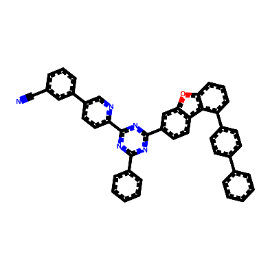 N#Cc1cccc(-c2ccc(-c3nc(-c4ccccc4)nc(-c4ccc5c(c4)oc4cccc(-c6ccc(-c7ccccc7)cc6)c45)n3)nc2)c1